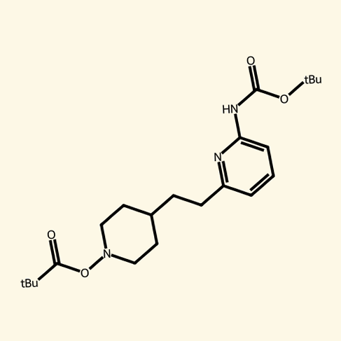 CC(C)(C)OC(=O)Nc1cccc(CCC2CCN(OC(=O)C(C)(C)C)CC2)n1